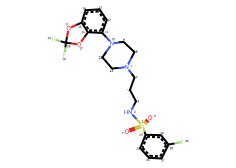 O=S(=O)(NCCCN1CCN(c2cccc3c2OC(F)(F)O3)CC1)c1cccc(F)c1